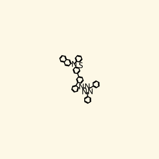 c1ccc(-c2nc(-c3ccccc3)nc(-n3c4ccccc4c4cc(-c5ccc6c(c5)Sc5ccccc5N6c5ccc6ccccc6c5)ccc43)n2)cc1